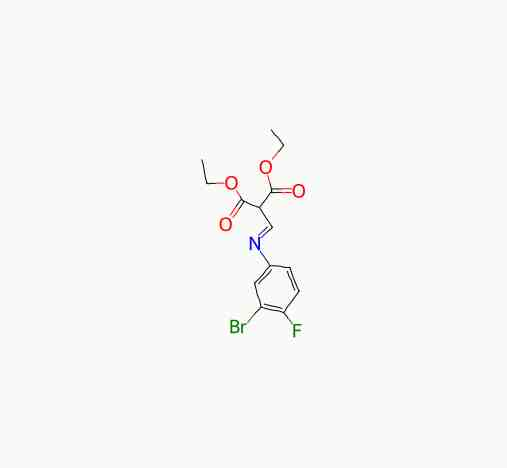 CCOC(=O)C(/C=N/c1ccc(F)c(Br)c1)C(=O)OCC